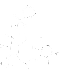 CCC(C(=O)N[C@@H](CC(=O)O)C(=O)COc1c(F)c(F)cc(F)c1F)n1cccc(NS(=O)(=O)c2ccccc2)c1=O